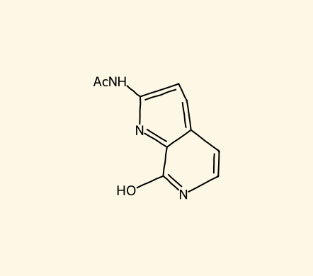 CC(=O)Nc1ccc2ccnc(O)c2n1